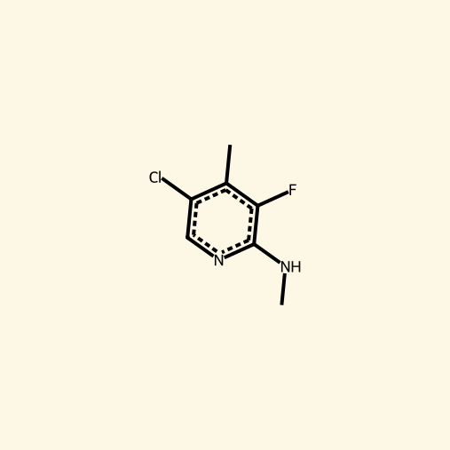 CNc1ncc(Cl)c(C)c1F